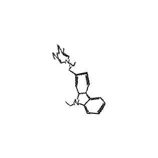 CCN1c2ccccc2C2C=CC(/C=N/n3cnnc3)=CC21